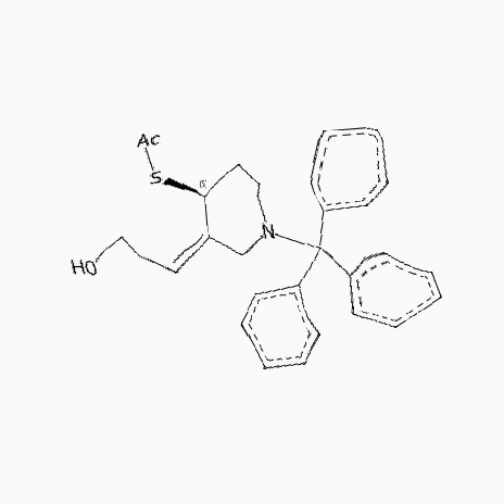 CC(=O)S[C@H]1CCN(C(c2ccccc2)(c2ccccc2)c2ccccc2)CC1=CCO